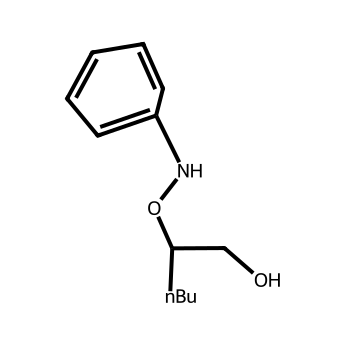 CCCCC(CO)ONc1ccccc1